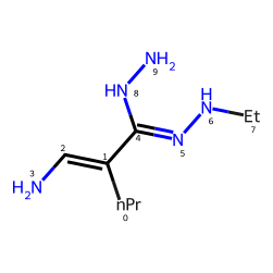 CCCC(=C\N)/C(=N/NCC)NN